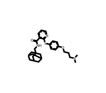 CN(C)CCCOc1ccc(Sc2ncccc2C(=O)NCC23CC4CC(CC(C4)C2)C3)cc1